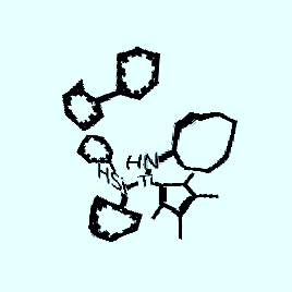 CC1=C(C)C(C)[C]([Ti]([NH]C2CCCCCCC2)[SiH](c2ccccc2)c2ccccc2)=C1C.c1ccc(-c2ccccc2)cc1